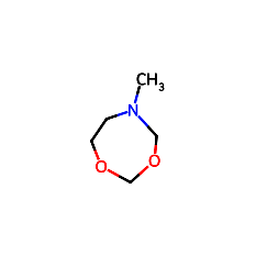 CN1CCOCOC1